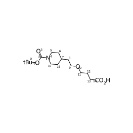 CC(C)(C)OC(=O)N1CCC(CCOCCCC(=O)O)CC1